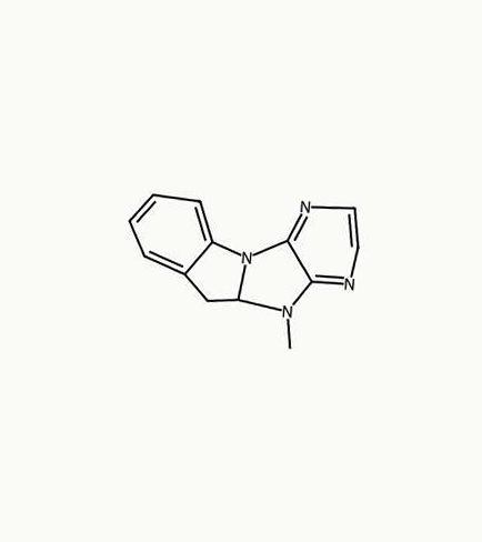 CN1c2nccnc2N2c3ccccc3CC12